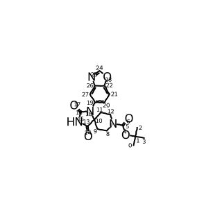 CC(C)(C)OC(=O)N1CCC2(CC1)C(=O)NC(=O)N2c1ccc2ocnc2c1